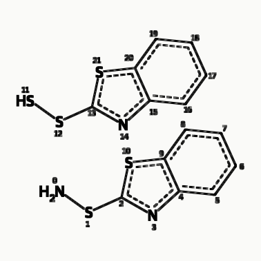 NSc1nc2ccccc2s1.SSc1nc2ccccc2s1